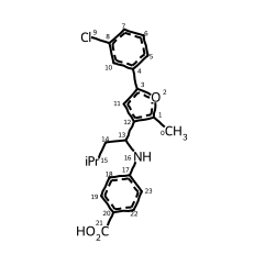 Cc1oc(-c2cccc(Cl)c2)cc1C(CC(C)C)Nc1ccc(C(=O)O)cc1